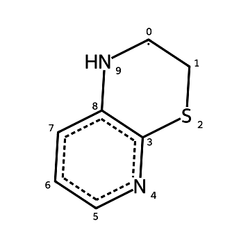 [CH]1CSc2ncccc2N1